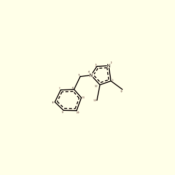 Cc1n[c]n(Cc2ccccc2)c1C